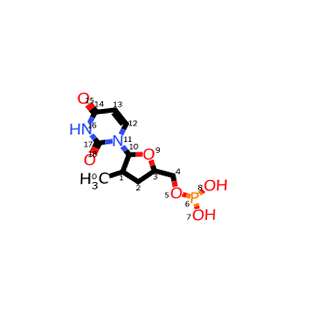 CC1CC(COP(O)O)OC1n1ccc(=O)[nH]c1=O